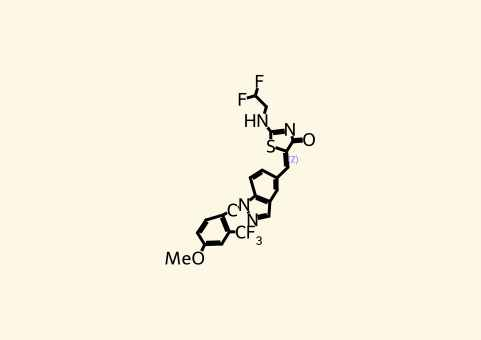 COc1ccc(Cn2ncc3cc(/C=C4\SC(NCC(F)F)=NC4=O)ccc32)c(C(F)(F)F)c1